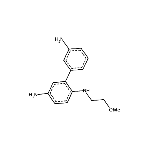 COCCNc1ccc(N)cc1-c1cccc(N)c1